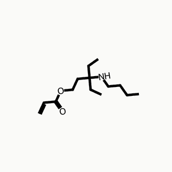 C=CC(=O)OCCC(CC)(CC)NCCCC